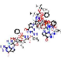 CC(C)OC(=O)[C@H](C)NP(=O)(Oc1ccccc1)OC(C)(C)[C@H]1O[C@@H](n2ccc3c(=O)[nH]c(NC(C)OC(=O)[C@H](C)N[P@@](=O)(Oc4ccccc4)OC(C)(C)[C@H]4O[C@@H](n5ccc6c(=O)[nH]c(NC(C)OC(=O)[C@H](C)N[P@](=O)(Oc7ccccc7)OC(C)(C)[C@H]7O[C@@H](n8ccc9c(=O)[nH]c(N)nc98)[C@@](N)(CF)C7O)nc65)[C@@](N)(CF)C4O)nc32)[C@@](N)(CF)C1O